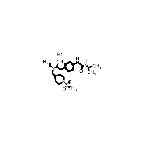 CCN(CC1CCN(S(C)(=O)=O)CC1)C(C)Cc1ccc(NC(=O)NC(C)C)cc1.Cl